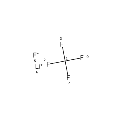 FC(F)(F)F.[F-].[Li+]